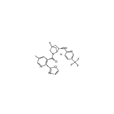 Cc1cnc(-c2ncco2)c(C(=O)N2C[C@@H]3C[C@@H](Nc4ccc(C(F)(F)F)cn4)[C@@H]2C3)c1